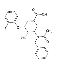 CC(=O)N(Cc1ccccc1)C1CC(C(=O)O)=CC(Oc2ccccc2I)C1O